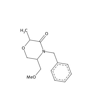 COCC1COC(C)C(=O)N1Cc1ccccc1